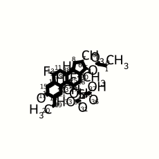 CCC(=O)O[C@@H]1[C@H](C)C[C@H]2[C@@H]3C[C@H](F)C4=CC(=O)C(CC)=C[C@]4(C)[C@@]3(F)[C@@H](O)C[C@]12C.O=C(O)SC(=O)O